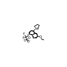 CCOc1ccc2cccc([S+]3CCCC3)c2c1.O=S(=O)([O-])C(F)(F)F